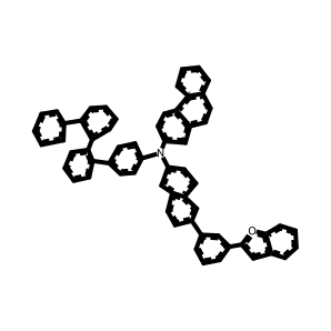 c1ccc(-c2ccccc2-c2ccccc2-c2ccc(N(c3ccc4cc(-c5cccc(-c6cc7ccccc7o6)c5)ccc4c3)c3ccc4c(ccc5ccccc54)c3)cc2)cc1